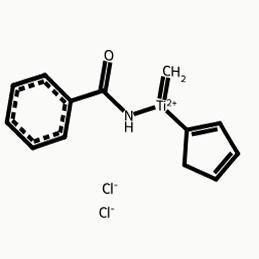 [CH2]=[Ti+2]([NH]C(=O)c1ccccc1)[C]1=CC=CC1.[Cl-].[Cl-]